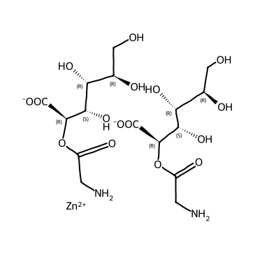 NCC(=O)O[C@@H](C(=O)[O-])[C@@H](O)[C@H](O)[C@H](O)CO.NCC(=O)O[C@@H](C(=O)[O-])[C@@H](O)[C@H](O)[C@H](O)CO.[Zn+2]